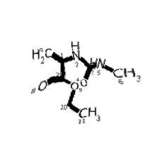 C=C(NC(=O)NC)C(=O)OCC